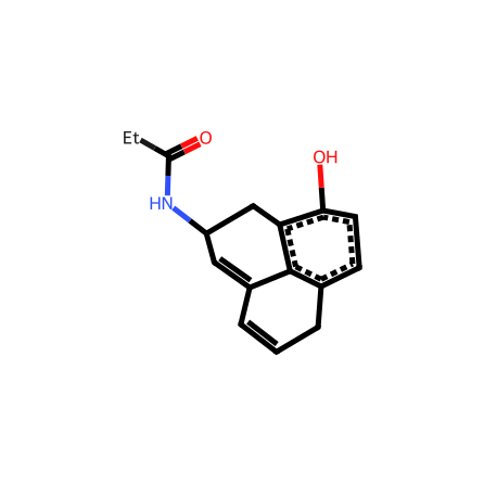 CCC(=O)NC1C=C2C=CCc3ccc(O)c(c32)C1